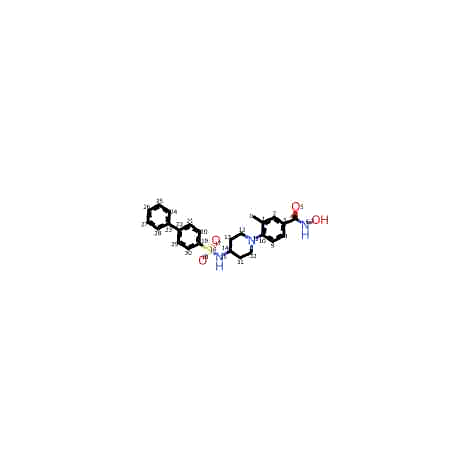 Cc1cc(C(=O)NO)ccc1N1CCC(NS(=O)(=O)c2ccc(-c3ccccc3)cc2)CC1